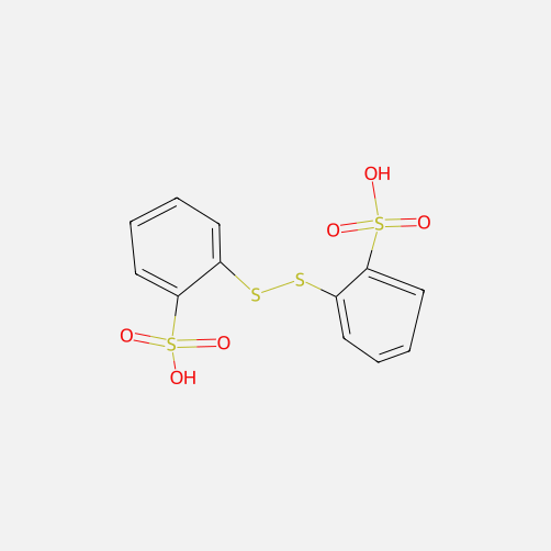 O=S(=O)(O)c1ccccc1SSc1ccccc1S(=O)(=O)O